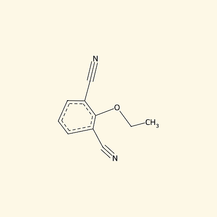 CCOc1c(C#N)cccc1C#N